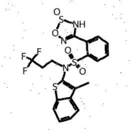 Cc1c(N(CCC(F)(F)F)S(=O)(=O)c2ccccc2C2=NOS(=O)N2)sc2ccccc12